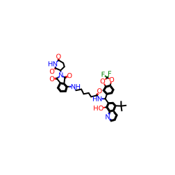 CC(C)(C)c1cc(C(NC(=O)CCCCCNc2cccc3c2C(=O)N(C2CCC(=O)NC2=O)C3=O)c2ccc3c(c2)OC(F)(F)O3)c(O)c2ncccc12